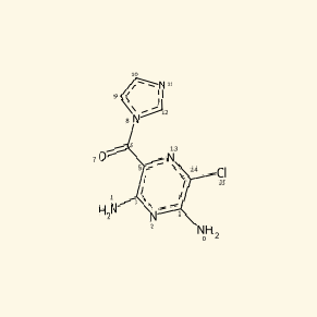 Nc1nc(N)c(C(=O)n2ccnc2)nc1Cl